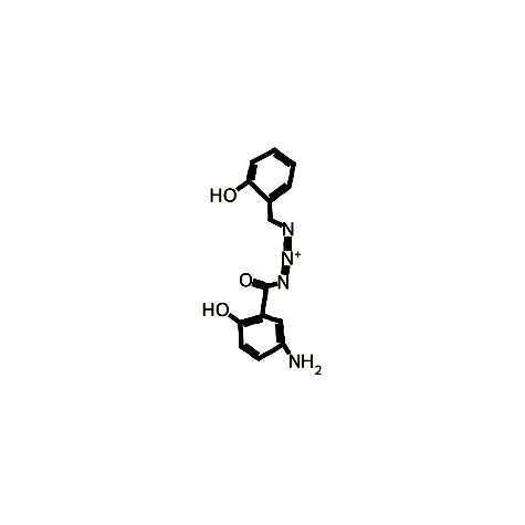 Nc1ccc(O)c(C(=O)N=[N+]=NCc2ccccc2O)c1